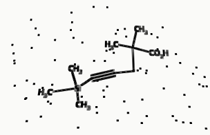 CC(C)(CC#C[Si](C)(C)C)C(=O)O